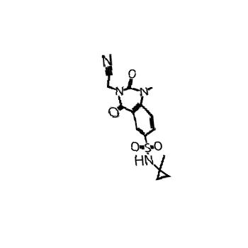 Cn1c(=O)n(CC#N)c(=O)c2cc(S(=O)(=O)NC3(C)CC3)ccc21